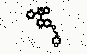 c1ccc(-c2nn3c(c2-c2ccnc4cc(OCCN5CCOCC5)ccc24)CCC3)nc1